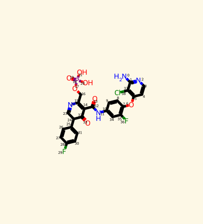 Nc1nccc(Oc2ccc(NC(=O)C3=C(COP(=O)(O)O)N=CC(c4ccc(F)cc4)C3=O)cc2F)c1Cl